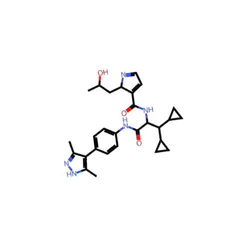 Cc1n[nH]c(C)c1-c1ccc(NC(=O)C(NC(=O)C2=CC=NC2CC(C)O)C(C2CC2)C2CC2)cc1